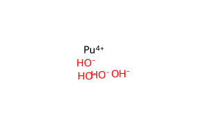 [OH-].[OH-].[OH-].[OH-].[Pu+4]